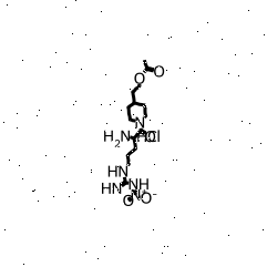 CC(=O)OCCC1CCN(C(=O)C(N)CCCNC(=N)N[N+](=O)[O-])CC1.Cl